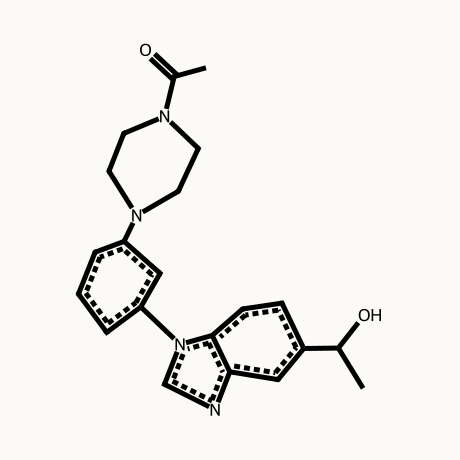 CC(=O)N1CCN(c2cccc(-n3cnc4cc(C(C)O)ccc43)c2)CC1